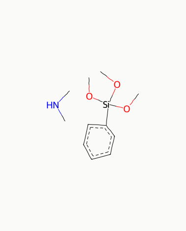 CNC.CO[Si](OC)(OC)c1ccccc1